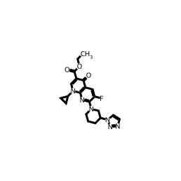 CCOC(=O)c1cn(C2CC2)c2nc(N3CCCC(n4ccnn4)C3)c(F)cc2c1=O